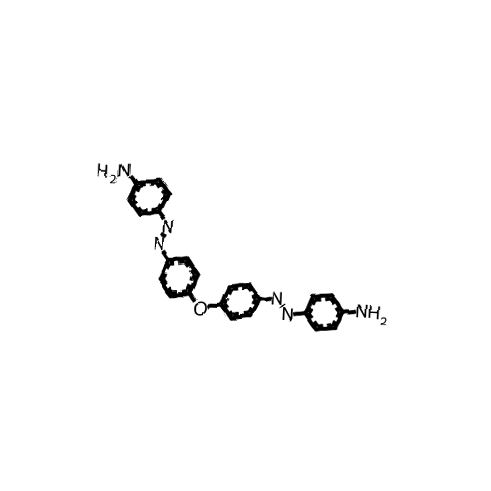 Nc1ccc(N=Nc2ccc(Oc3ccc(N=Nc4ccc(N)cc4)cc3)cc2)cc1